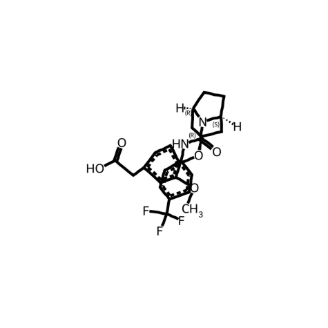 COc1cc(CC(=O)O)ccc1O[C@H]1C[C@H]2CC[C@@H](C1)N2C(=O)Nc1ccc(C(F)(F)F)cc1